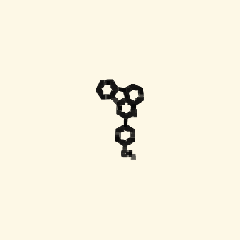 Cc1ccc(-c2cc3c4c(cccc4n2)-c2ccccc2-3)cc1